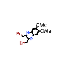 COc1cc2nc(CBr)c(CBr)nc2cc1OC